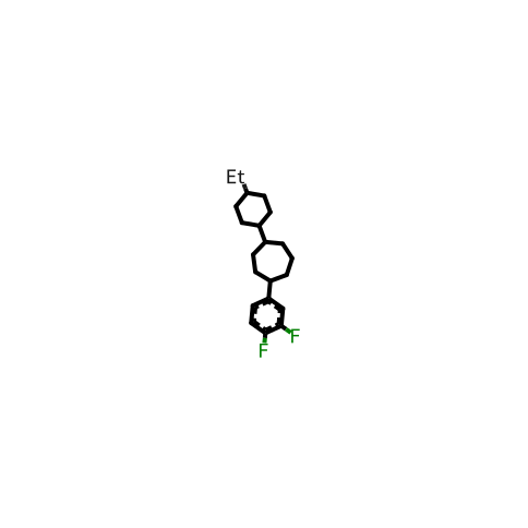 CCC1CCC(C2CCCC(c3ccc(F)c(F)c3)CC2)CC1